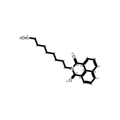 CCCCCCCCCCCCCCCCCCN1C(=O)c2cccc3cccc(c23)C1=O